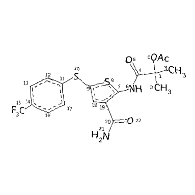 CC(=O)OC(C)(C)C(=O)Nc1sc(Sc2ccc(C(F)(F)F)cc2)cc1C(N)=O